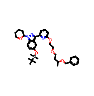 CC(CCOCCOc1cccc(-c2nn(C3CCCCO3)c3ccc(O[Si](C)(C)C(C)(C)C)cc23)n1)OCc1ccccc1